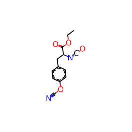 CCOC(=O)C(Cc1ccc(OC#N)cc1)N=C=O